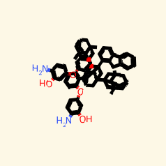 CC12CC3CC(C)(C1)CC(C1C4CC5CC(C67CC8CC(C)(CC(C)(C8)C6)C7)(C4)CC1(c1cccc4c1Cc1ccccc1-4)C5(c1ccccc1Oc1ccc(N)c(O)c1)c1ccccc1Oc1ccc(N)c(O)c1)(C3)C2